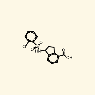 O=C(O)c1cccc2c1CC[C@@H]2NS(=O)(=O)c1ccccc1Cl